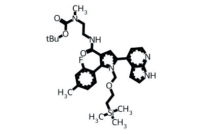 Cc1ccc(-c2c(C(=O)NCCN(C)C(=O)OC(C)(C)C)cc(-c3ccnc4[nH]ccc34)n2COCC[Si](C)(C)C)c(F)c1